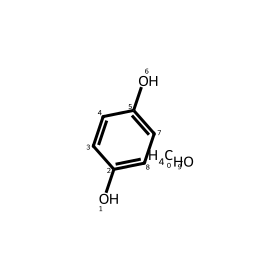 C.Oc1ccc(O)cc1.[OH]